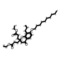 CCCCCCCCCCOc1ccc2c(c1CCC)OC(CCC(=O)OCC)(CCC(=O)OCC)CC2=O